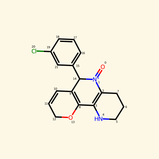 O=[N+]1C2=C(NCCC2)C2=C(C=CCO2)C1c1cccc(Cl)c1